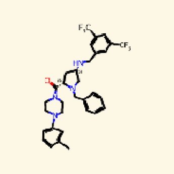 Cc1cccc(N2CCN(C(=O)[C@@H]3C[C@H](NCc4cc(C(F)(F)F)cc(C(F)(F)F)c4)CN3Cc3ccccc3)CC2)c1